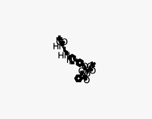 C[n+]1nc(NCCCNC(=O)OC(C)(C)C)ccc1-c1ccc(OCC(ON2C(=O)c3ccccc3C2=O)C(=O)OC(C)(C)C)cc1